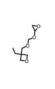 CCC1(COCOC2CO2)COC1